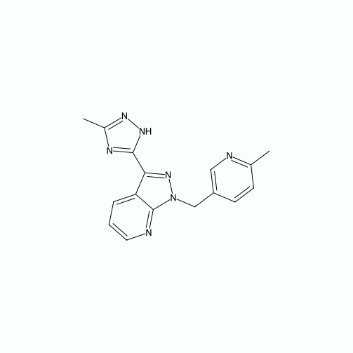 Cc1ccc(Cn2nc(-c3nc(C)n[nH]3)c3cccnc32)cn1